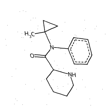 CC1(N(C(=O)C2CCCCN2)c2ccccc2)CC1